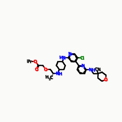 CC(C)OC(=O)COC[C@@H](C)NC1CCC(Nc2cc(-c3cccc(NCC4(C#N)CCOCC4)n3)c(Cl)cn2)CC1